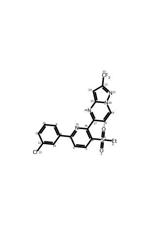 CCS(=O)(=O)c1ccc(-c2cccc(Cl)c2)nc1-c1ccn2nc(C(F)(F)F)cc2n1